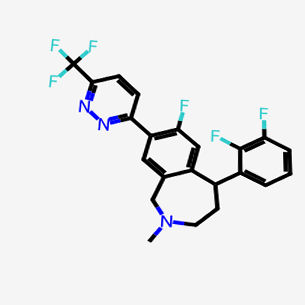 CN1CCC(c2cccc(F)c2F)c2cc(F)c(-c3ccc(C(F)(F)F)nn3)cc2C1